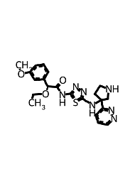 CCO[C@H](C(=O)Nc1nnc(NC2(c3cccnn3)CCNC2)s1)c1cccc(OC)c1